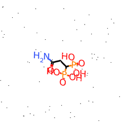 NC(=O)CC(P(=O)(O)O)P(=O)(O)O